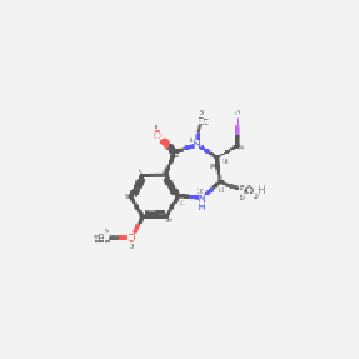 CCN1C(=O)c2ccc(OC(C)(C)C)cc2NC(S(=O)(=O)O)[C@@H]1CI